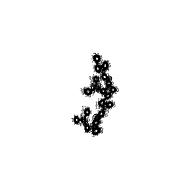 c1ccc(-c2nc(-c3ccccc3)nc(-c3cccc(-n4c5ccccc5c5cc6c(cc54)oc4cc(-n5c7ccccc7c7c(-c8ccc(-c9cccc%10c%11cc%12oc%13cc(-n%14c%15ccccc%15c%15c(-c%16ccccc%16)cccc%15%14)ccc%13c%12cc%11n(-c%11cccc(-c%12nc(-c%13ccccc%13)nc(-c%13ccccc%13)n%12)c%11)c9%10)cc8)cccc75)ccc46)c3)n2)cc1